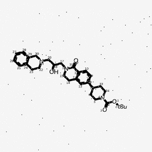 CC(C)(C)OC(=O)N1CCC(c2ccc3c(c2)CCN(CC(O)CN2CCc4ccccc4C2)C3=O)CC1